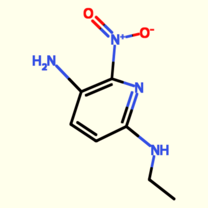 CCNc1ccc(N)c([N+](=O)[O-])n1